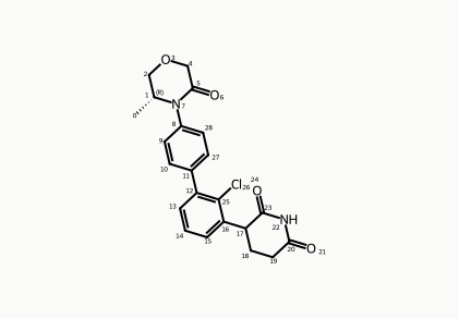 C[C@@H]1COCC(=O)N1c1ccc(-c2cccc(C3CCC(=O)NC3=O)c2Cl)cc1